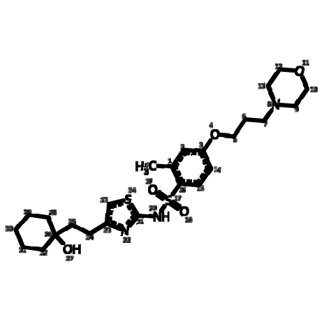 Cc1cc(OCCCN2CCOCC2)ccc1S(=O)(=O)Nc1nc(CCC2(O)CCCCC2)cs1